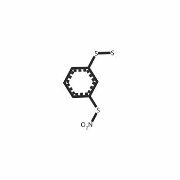 O=[N+]([O-])Sc1cccc(S[S])c1